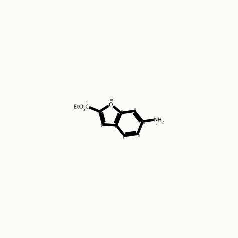 CCOC(=O)c1cc2ccc(N)cc2o1